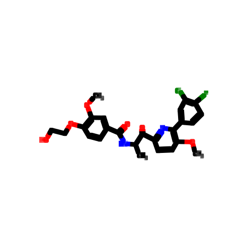 COc1cc(C(=O)NC(C)C(=O)c2ccc(OC)c(-c3ccc(F)c(Cl)c3)n2)ccc1OCCO